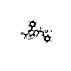 CC(C)C(=O)N1C=C(c2ccccc2)N(CC(=O)N[C@H](C=O)Cc2ccccc2)C(=O)C1C(C)C